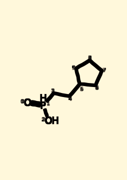 O=[PH](O)CCC1CCCC1